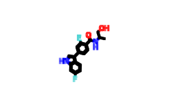 CC(CO)NC(=O)c1ccc(-c2c[nH]c3cc(F)ccc23)cc1F